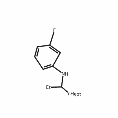 CCCCCCCC(CC)Nc1cccc(F)c1